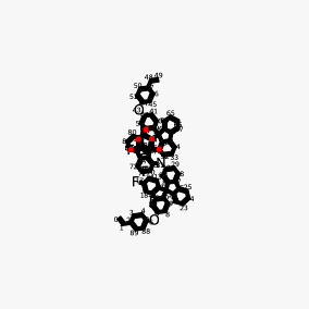 C=Cc1ccc(Oc2ccc(C3(c4cc(F)c(F)cc4F)c4ccccc4-c4ccc(N(c5ccc6c(c5)C(c5ccc(Oc7ccc(C=C)cc7)cc5)(c5cc(F)c(F)cc5F)c5ccccc5-6)c5cccc6c5C(C)(C)c5ccccc5-6)cc43)cc2)cc1